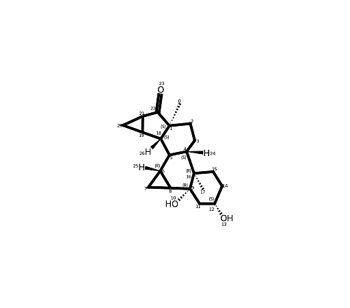 C[C@]12CC[C@H]3C([C@H]4CC4[C@]4(O)C[C@@H](O)CC[C@]34C)[C@@H]1C1CC1C2=O